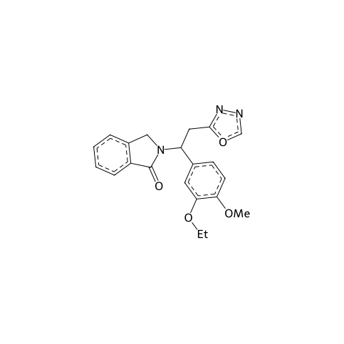 CCOc1cc(C(Cc2nnco2)N2Cc3ccccc3C2=O)ccc1OC